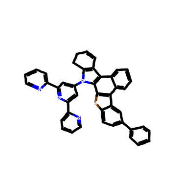 C1=Cc2c(n(-c3cc(-c4ccccn4)nc(-c4ccccn4)c3)c3c4sc5ccc(-c6ccccc6)cc5c4c4ccccc4c23)CC1